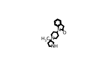 CC1(N2CCC(N3C(=O)Cc4ccccc43)CC2)CCNC1